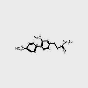 COc1cc(CCC(=O)OC(C)(C)C)ccc1-c1ccc(C(=O)O)cc1